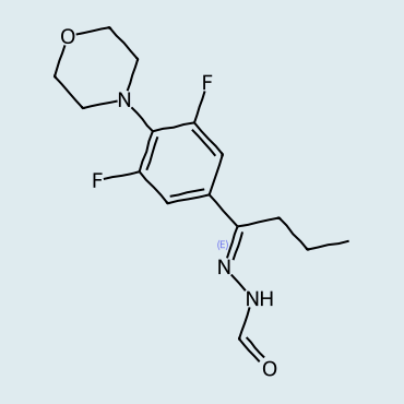 CCC/C(=N\NC=O)c1cc(F)c(N2CCOCC2)c(F)c1